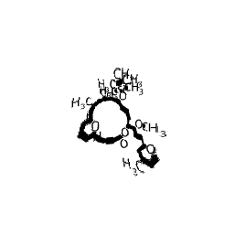 C=C1C[C@H](C)C[C@@H]2CC=C[C@@H](CC#CC(=O)O[C@H]([C@H](/C=C/[C@@H]3CC(C)=CCO3)OC)C/C=C/[C@H](O[Si](C)(C)C(C)(C)C)C1)O2